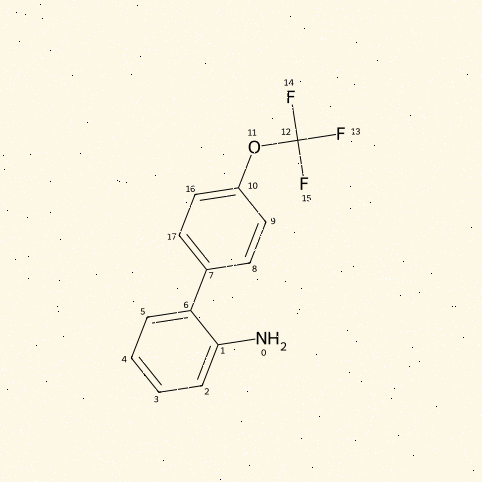 Nc1ccccc1-c1ccc(OC(F)(F)F)cc1